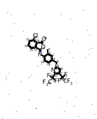 Cc1cc(Cn2cc(C(F)(F)C(F)(F)F)c(C(F)(F)C(F)(F)F)n2)ccc1/N=C1\OC(=O)c2c(Cl)cccc21